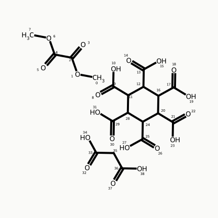 COC(=O)C(=O)OC.O=C(O)C1C(C(=O)O)C(C(=O)O)C(C(=O)O)C(C(=O)O)C1C(=O)O.O=C(O)CC(=O)O